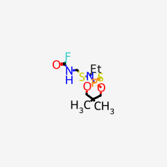 CCN(SCNC(=O)F)P1(=S)OCC(C)(C)CO1